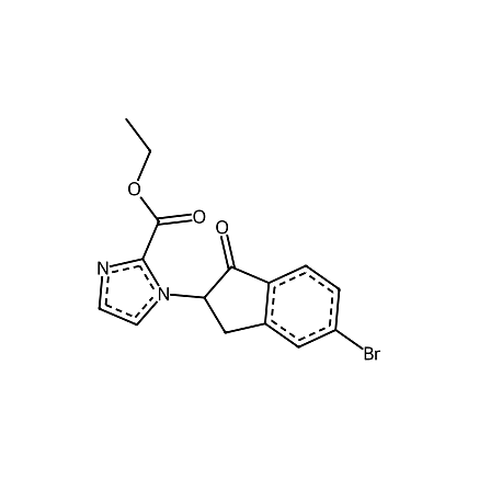 CCOC(=O)c1nccn1C1Cc2cc(Br)ccc2C1=O